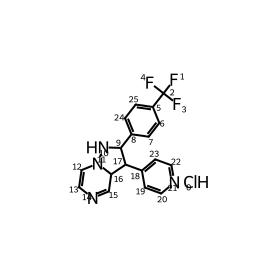 Cl.FC(F)(F)c1ccc(C2NN3C=CN=CC3C2c2ccncc2)cc1